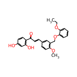 CCOc1ccccc1OCc1cc(/C=C/C(=O)c2ccc(O)cc2O)ccc1OC